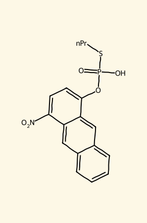 CCCSP(=O)(O)Oc1ccc([N+](=O)[O-])c2cc3ccccc3cc12